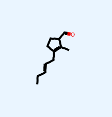 CCC=CCC1=C(C)C(C=O)CC1